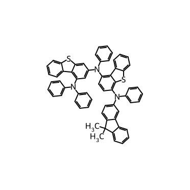 CC1(C)c2ccccc2-c2cc(N(c3ccccc3)c3ccc(N(c4ccccc4)c4cc(N(c5ccccc5)c5ccccc5)c5c(c4)sc4ccccc45)c4c3sc3ccccc34)ccc21